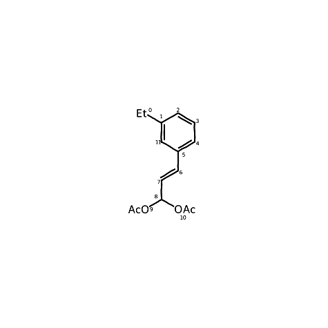 CCc1cccc(C=CC(OC(C)=O)OC(C)=O)c1